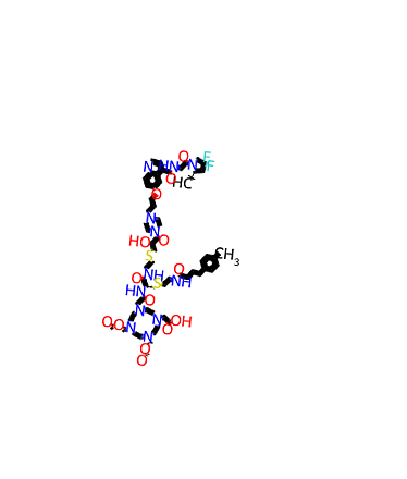 C#C[C@H]1CC(F)(F)CN1C(=O)CNC(=O)c1ccnc2ccc(OCCCN3CCN(C(=O)[C@H](O)CSCCNC(=O)[C@H](CSCCNC(=O)CCCc4ccc(C)cc4)NC(=O)CN4CCN(COC=O)CCN(COC=O)CCN(CC(=O)O)CC4)CC3)cc12